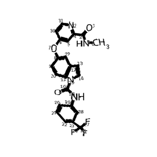 CNC(=O)c1cc(Oc2ccc3c(ccn3C(=O)Nc3cccc(C(F)(F)F)c3)c2)ccn1